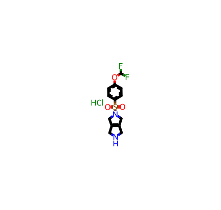 Cl.O=S(=O)(c1ccc(OC(F)F)cc1)N1CC2=C(CNC2)C1